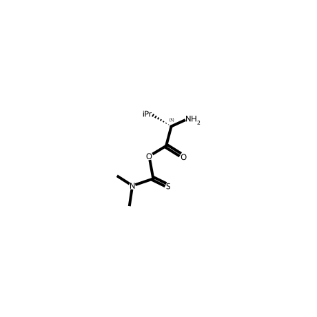 CC(C)[C@H](N)C(=O)OC(=S)N(C)C